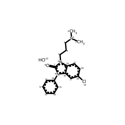 CN(C)CCCn1c(=O)n(-c2ccccc2)c2cc(Cl)ccc21.Cl